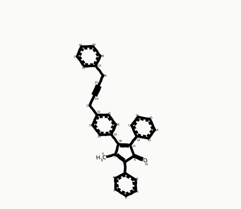 CC1=C(c2ccccc2)C(=O)C(c2ccccc2)=C1c1ccc(CC#CCc2ccccc2)cc1